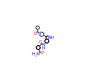 NC(=O)c1cccc(C(=O)Nc2ccc3[nH]cc(C4CCN(C(=O)C5CCCC5)CC4)c3c2)c1